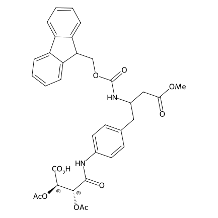 COC(=O)CC(Cc1ccc(NC(=O)[C@H](OC(C)=O)[C@@H](OC(C)=O)C(=O)O)cc1)NC(=O)OCC1c2ccccc2-c2ccccc21